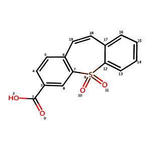 O=C(O)c1ccc2c(c1)S(=O)(=O)c1ccccc1C=C2